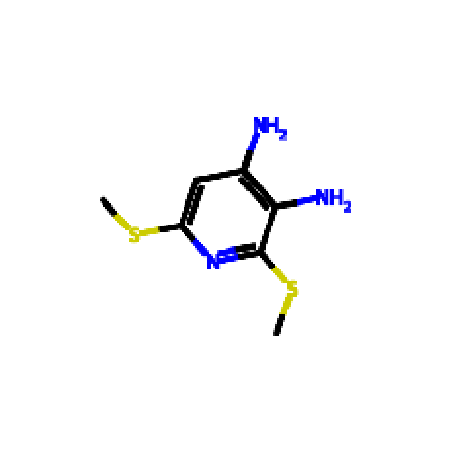 CSc1cc(N)c(N)c(SC)n1